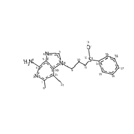 Cc1nc(N)c2ncn(CCC[S+]([O-])c3ccccc3)c2c1C